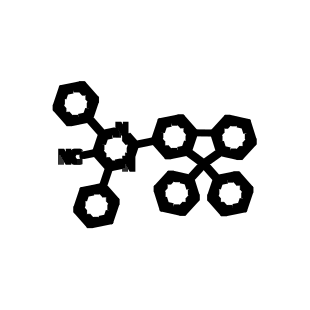 N#Cc1c(-c2ccccc2)nc(-c2ccc3c(c2)C(c2ccccc2)(c2ccccc2)c2ccccc2-3)nc1-c1ccccc1